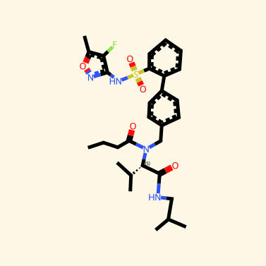 CCCC(=O)N(Cc1ccc(-c2ccccc2S(=O)(=O)Nc2noc(C)c2F)cc1)[C@H](C(=O)NCC(C)C)C(C)C